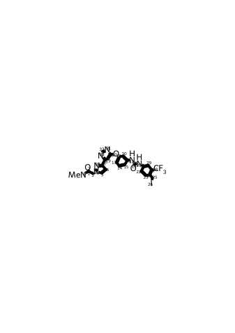 CNC(=O)Cn1ccc(-c2cc(Oc3cccc(NC(=O)Nc4ccc(CI)c(C(F)(F)F)c4)c3)ncn2)n1